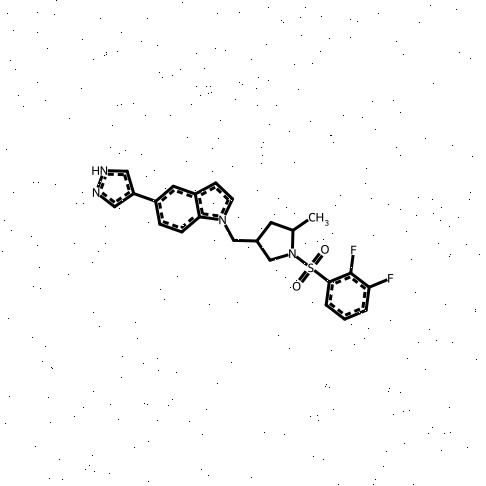 CC1CC(Cn2ccc3cc(-c4cn[nH]c4)ccc32)CN1S(=O)(=O)c1cccc(F)c1F